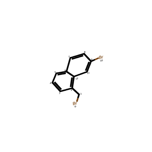 BrCc1cccc2ccc(Br)cc12